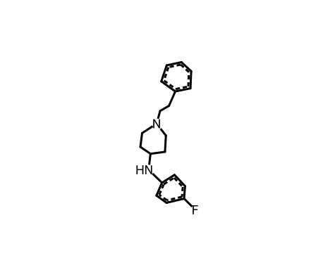 Fc1ccc(NC2CCN(CCc3ccccc3)CC2)cc1